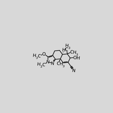 COc1c2c(nn1C)[C@@]1(C)C=C(C#N)C(O)C(C)(C)[C@@H]1CC2